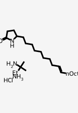 CCC(C)(C)N.CCCCCCCCC=CCCCCCCCCC1CCC(=O)N1.Cl.N